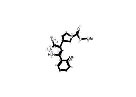 CC(C)(C)OC(=O)N1CCC(C(/C=C(\N)c2ccccc2O)=C(N)N)C1